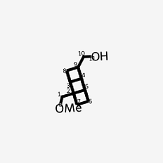 COCC12C3C4C1C1C2C3C41CO